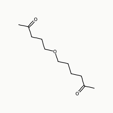 CC(=O)CCCCOCCCC(C)=O